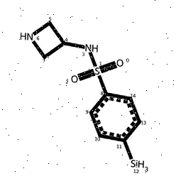 O=S(=O)(NC1CNC1)c1ccc([SiH3])cc1